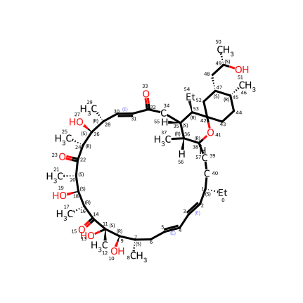 CC[C@@H]1/C=C/C=C/C[C@H](C)[C@@H](O)[C@](C)(O)C(=O)[C@H](C)[C@@H](O)[C@H](C)C(=O)[C@H](C)[C@@H](O)[C@H](C)/C=C/C(=O)C[C@H]2[C@@H](C)[C@@H](CC1)OC1(CC[C@@H](C)[C@@H](C[C@H](C)O)C1)[C@@H]2CC